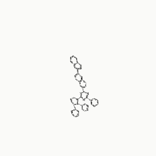 c1ccc(-c2nc(-c3ccc4cc(-c5ccc6ccccc6c5)ccc4c3)nc(-c3cccc(-c4ccccc4)c3-c3ccccc3)n2)cc1